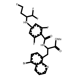 COC(=O)C(Cc1ccc(Br)c2cccnc12)NC(=O)c1c(F)cc(NC(CCF)C(F)F)cc1F